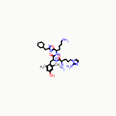 Cc1cc(O)cc(C)c1CC(NC(=O)C(N)CCCn1ccnc1N)C(=O)NC(CCCCN)c1nc(CC2CCCCC2)no1